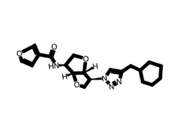 O=C(N[C@H]1CO[C@H]2[C@@H]1OC[C@@H]2n1cc(CC2CCCCC2)nn1)c1ccoc1